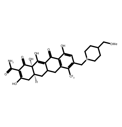 COCC1CCN(Cc2cc(O)c3c(c2C(F)(F)F)CC2C[C@H]4CC(O)=C(C(N)=O)C(=O)[C@@]4(O)C(O)=C2C3=O)CC1